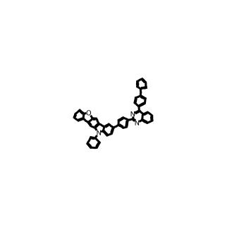 c1ccc(-c2ccc(-c3nc(-c4ccc(-c5ccc6c(c5)c5cc7oc8ccccc8c7cc5n6-c5ccccc5)cc4)nc4ccccc34)cc2)cc1